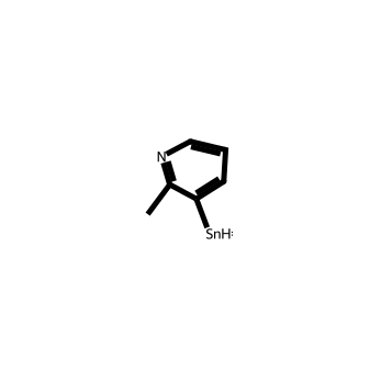 Cc1nccc[c]1[SnH]